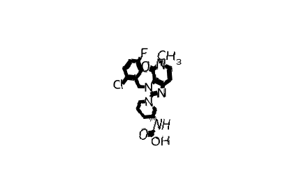 Cn1ccc2nc(N3CCC[C@@H](NC(=O)O)C3)n(Cc3cc(F)ccc3Cl)c2c1=O